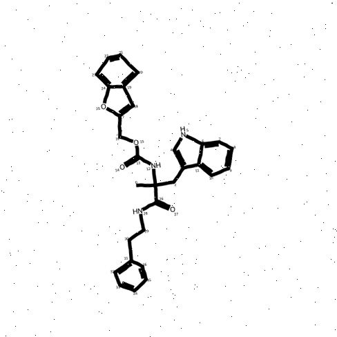 CC(Cc1c[nH]c2ccccc12)(NC(=O)OCc1cc2ccccc2o1)C(=O)NCCc1ccccc1